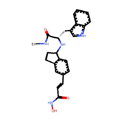 CCNC(=O)[C@H](Cc1c[nH]c2ccccc12)NC1CCc2cc(C=CC(=O)NO)ccc21